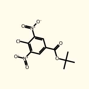 CC(C)(C)OC(=O)c1cc([N+](=O)[O-])c(Cl)c([N+](=O)[O-])c1